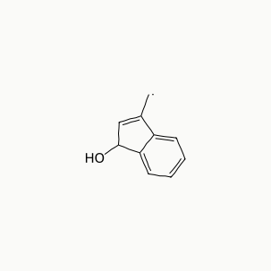 [CH2]C1=CC(O)c2ccccc21